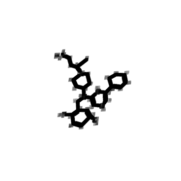 CC(CCN)N1CCC(N(Cc2cc(Cl)ccc2F)C2=COC=C(C3=CC=CCC3)O2)CC1